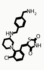 NCc1ccc(CN[C@@H]2CCCN(c3c(Cl)cccc3C=C3SC(=O)NC3=O)C2)cc1